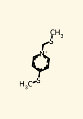 CSC[n+]1ccc(SC)cc1